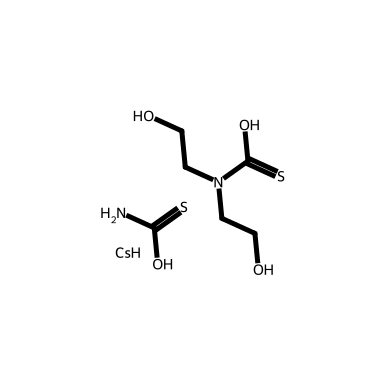 NC(O)=S.OCCN(CCO)C(O)=S.[CsH]